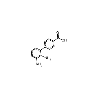 Nc1cccc(-c2ccc(C(=O)O)cc2)c1N